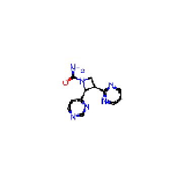 NC(=O)N1CC(c2ncccn2)C1c1ccncn1